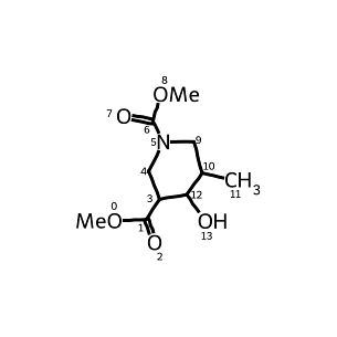 COC(=O)C1CN(C(=O)OC)CC(C)C1O